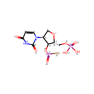 O=c1ccn([C@H]2CO[C@H](COP(=O)(O)O)C2O[PH](=O)S)c(=O)[nH]1